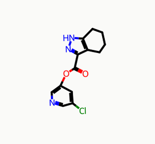 O=C(Oc1cncc(Cl)c1)c1n[nH]c2c1CCCC2